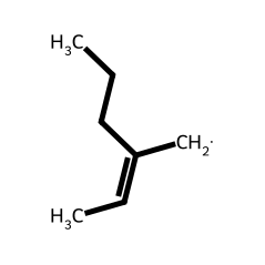 [CH2]/C(=C/C)CCC